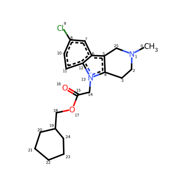 CN1CCc2c(c3cc(Cl)ccc3n2CC(=O)OCC2CCCCC2)C1